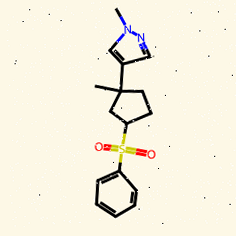 Cn1cc(C2(C)CCC(S(=O)(=O)c3ccccc3)C2)[c]n1